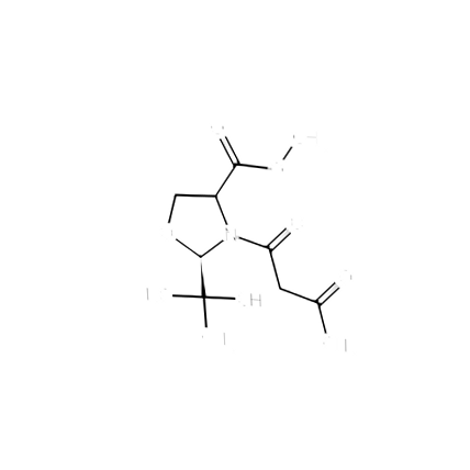 COC(=O)C1CO[C@H](C(C)(C)C)N1C(=O)CC(C)=O